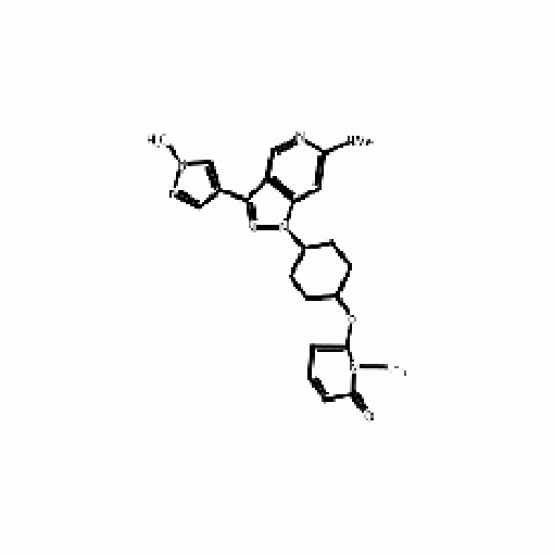 CNc1cc2c(cn1)c(-c1cnn(C)c1)nn2C1CCC(Oc2cccc(=O)n2C)CC1